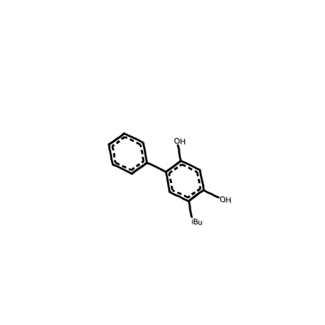 CCC(C)c1cc(-c2ccccc2)c(O)cc1O